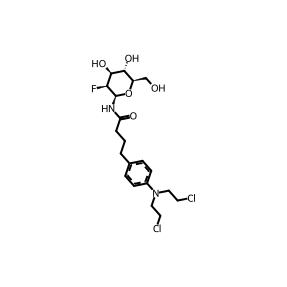 O=C(CCCc1ccc(N(CCCl)CCCl)cc1)N[C@@H]1O[C@H](CO)[C@@H](O)[C@H](O)[C@@H]1F